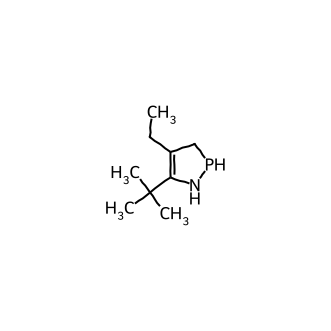 CCC1=C(C(C)(C)C)NPC1